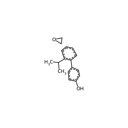 C1CO1.CC(C)c1ccccc1-c1ccc(O)cc1